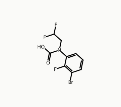 O=C(O)N(CC(F)F)c1cccc(Br)c1F